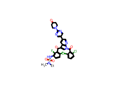 CCN(C)S(=O)(=O)Nc1ccc(F)c(C(=O)c2cn(C(=O)c3c(Cl)cccc3Cl)c3ncc(-c4cnc(N5CCC(=O)CC5)nc4)cc23)c1F